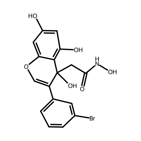 O=C(CC1(O)C(c2cccc(Br)c2)=COc2cc(O)cc(O)c21)NO